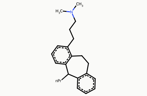 CCCC1c2ccccc2CCc2c(CCCN(C)C)cccc21